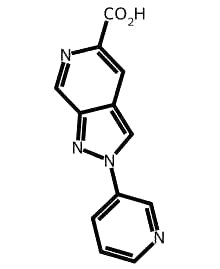 O=C(O)c1cc2cn(-c3cccnc3)nc2cn1